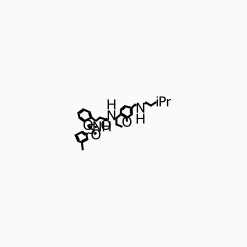 Cc1cccc(S(=O)(=O)NC(CC(=O)NC2CCOc3cc(CNCCC(C)C)ccc32)c2ccccc2)c1